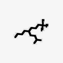 CCCCC(CCCC(F)(F)F)CCC(C)C